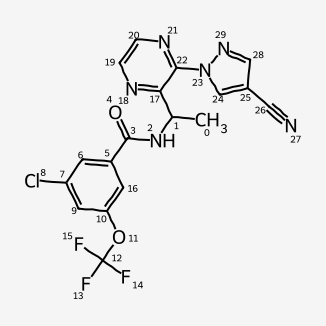 CC(NC(=O)c1cc(Cl)cc(OC(F)(F)F)c1)c1nccnc1-n1cc(C#N)cn1